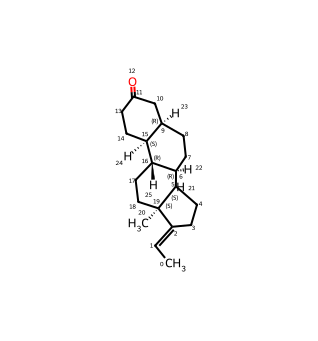 CC=C1CC[C@H]2[C@@H]3CC[C@@H]4CC(=O)CC[C@@H]4[C@H]3CC[C@]12C